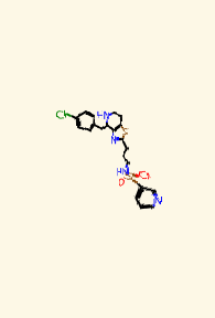 O=S(=O)(NCCCc1nc2c(s1)CCNC2Cc1ccc(Cl)cc1)c1cccnc1